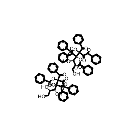 O=C(O[C@](C(=O)C(=O)c1ccccc1)(C(=O)c1ccccc1)[C@](O)(C(=O)c1ccccc1)[C@H](O)[C@H](O)CO)c1ccccc1.O=C(O[C@](C(=O)C(=O)c1ccccc1)(C(=O)c1ccccc1)[C@](OC(=O)c1ccccc1)(C(=O)c1ccccc1)[C@H](O)[C@H](O)CO)c1ccccc1